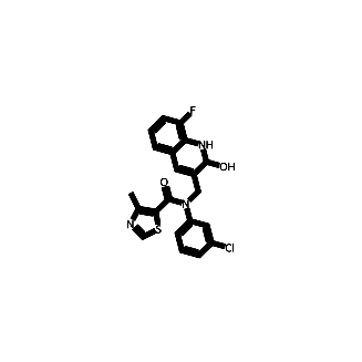 Cc1ncsc1C(=O)N(CC1=Cc2cccc(F)c2NC1O)c1cccc(Cl)c1